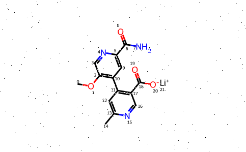 COc1cnc(C(N)=O)cc1-c1cc(C)ncc1C(=O)[O-].[Li+]